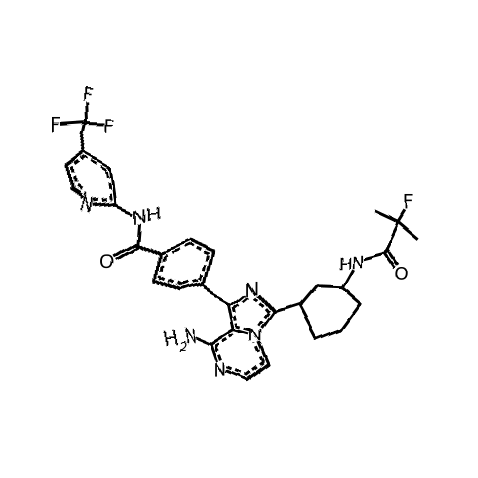 CC(C)(F)C(=O)NC1CCCC(c2nc(-c3ccc(C(=O)Nc4cc(C(F)(F)F)ccn4)cc3)c3c(N)nccn23)C1